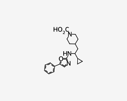 O=C(O)N1CCC(CC(Nc2ncc(-c3ccccc3)o2)C2CC2)CC1